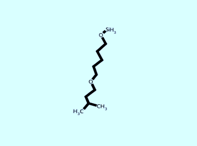 CC(C)CCOCCCCCO[SiH3]